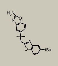 CC(C)(C)c1ccc2oc(CC(C)(C)c3ccc4oc(N)nc4c3)nc2c1